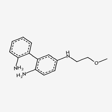 COCCNc1ccc(N)c(-c2ccccc2N)c1